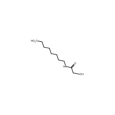 CCCCCCCCCC(=O)NCCCCCCCC(=O)O